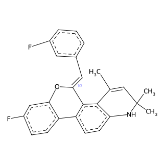 CC1=CC(C)(C)Nc2ccc3c(c21)/C(=C/c1cccc(F)c1)Oc1cc(F)ccc1-3